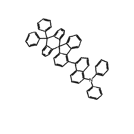 c1ccc(N(c2ccccc2)c2cccc3c(-c4cccc5c4-c4ccccc4C54c5ccccc5C(c5ccccc5)(c5ccccc5)c5ccccc54)cccc23)cc1